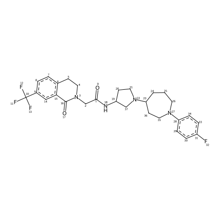 O=C(CN1CCc2ccc(C(F)(F)F)cc2C1=O)NC1CCN(C2CCCN(c3ccc(F)cc3)CC2)C1